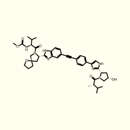 COC(=O)N[C@H](C(=O)N1C[C@]2(CCCO2)C[C@H]1c1nc2cc(C#Cc3ccc(-c4c[nH]c([C@@H]5C[C@H](O)CN5C(=O)[C@@H](C)C(C)C)n4)cc3)ccc2[nH]1)C(C)C